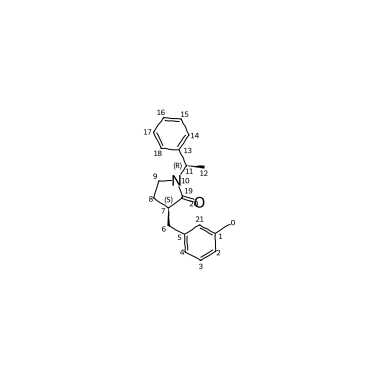 Cc1cccc(C[C@H]2CCN([C@H](C)c3ccccc3)C2=O)c1